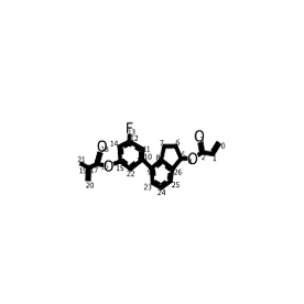 C=CC(=O)OC1CCc2c(-c3cc(F)cc(OC(=O)C(=C)C)c3)cccc21